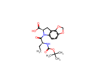 CC[C@H](NC(=O)OC(C)(C)C)C(=O)N1c2ccc3c(c2C[C@@H]1C(=O)O)OCO3